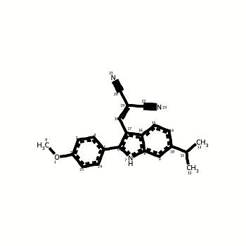 COc1ccc(-c2[nH]c3cc(C(C)C)ccc3c2C=C(C#N)C#N)cc1